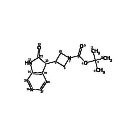 CC(C)(C)OC(=O)N1CC(C2C(=O)Nc3cnccc32)C1